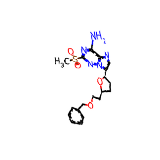 CS(=O)(=O)c1nc(N)c2ncc([C@H]3CC[C@@H](CCOCc4ccccc4)O3)n2n1